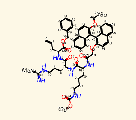 C=CC[C@H](NC(=O)[C@@H](CCCNC(=N)NC)NC(=O)[C@@H](CCCCNC(=O)OC(C)(C)C)NC(=O)COc1ccc2ccccc2c1-c1c(OCC(C)(C)C)ccc2ccccc12)C(=O)OCc1ccccc1